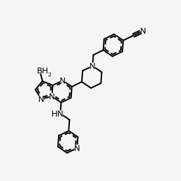 Bc1cnn2c(NCc3cccnc3)cc(C3CCCN(Cc4ccc(C#N)cc4)C3)nc12